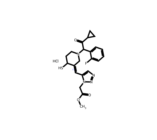 COC(=O)Cn1nncc1/C=C1\CN(C(C(=O)C2CC2)c2ccccc2F)CCC1S.Cl